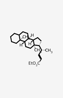 CCOC(=O)C=C[C@@H](C)[C@H]1CC[C@H]2[C@@H]3CCC4CCCC[C@]4(C)[C@H]3CC[C@]12C